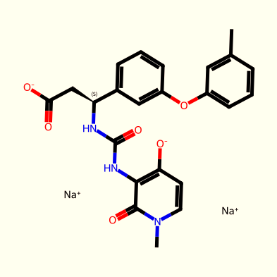 Cc1cccc(Oc2cccc([C@H](CC(=O)[O-])NC(=O)Nc3c([O-])ccn(C)c3=O)c2)c1.[Na+].[Na+]